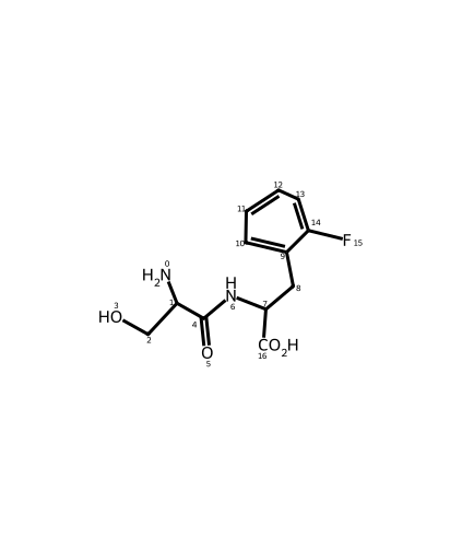 NC(CO)C(=O)NC(Cc1ccccc1F)C(=O)O